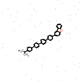 CC(C)c1ccc(-c2ccc(-c3ccc(-c4ccc(-c5ccc6oc7ccccc7c6c5)cc4)cc3)cc2)cc1